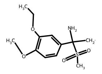 [CH2]C(N)(c1ccc(OC)c(OCC)c1)S(C)(=O)=O